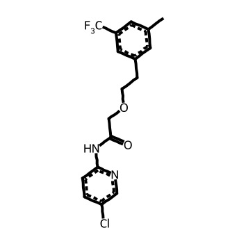 Cc1cc(CCOCC(=O)Nc2ccc(Cl)cn2)cc(C(F)(F)F)c1